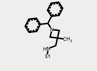 CCNCC1(C)CN(C(c2ccccc2)c2ccccc2)C1